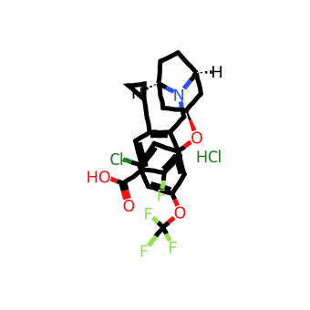 Cl.O=C(O)c1cc(C2CC2)c(CN2[C@@H]3CC[C@H]2C[C@@H](Oc2cc(Cl)cc(OC(F)(F)F)c2)C3)cc1F